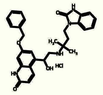 CC(C)(CCn1c(=O)[nH]c2ccccc21)NCC(O)c1cc(OCc2ccccc2)cc2[nH]c(=O)ccc12.Cl